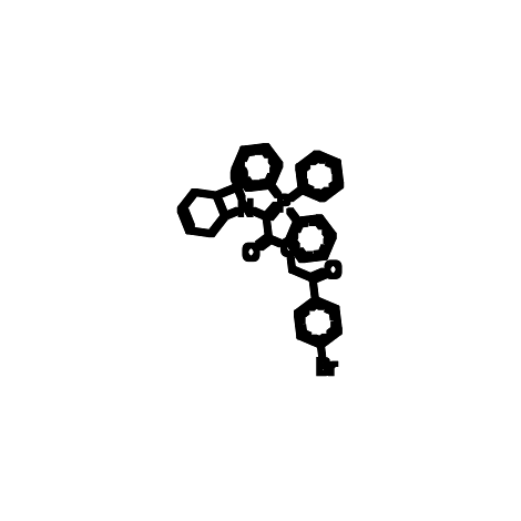 O=C(OCC(=O)c1ccc(Br)cc1)C(N1C(=O)C2CC=CCC21)=P(c1ccccc1)(c1ccccc1)c1ccccc1